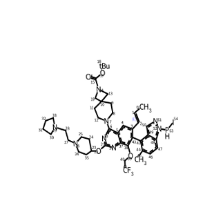 C/C=C/c1cc2c(N3CCC4(CC3)CN(C(=O)OC(C)(C)C)C4)nc(OC3CCN(CCN4CCCC4)CC3)nc2c(OCC(F)(F)F)c1-c1c(C)ccc2c1cnn2PI